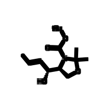 C/C=C/[C@@H](O)[C@@H]1COC(C)(C)N1C(=O)OC(C)(C)C